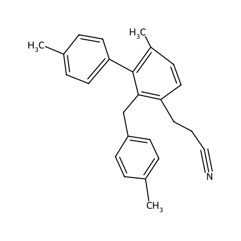 Cc1ccc(Cc2c(CCC#N)ccc(C)c2-c2ccc(C)cc2)cc1